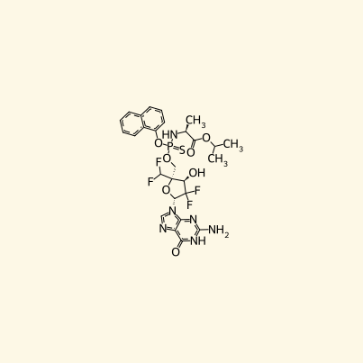 CC(C)OC(=O)[C@H](C)NP(=S)(OC[C@@]1(C(F)F)O[C@@H](n2cnc3c(=O)[nH]c(N)nc32)C(F)(F)[C@@H]1O)Oc1cccc2ccccc12